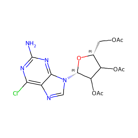 CC(=O)OC[C@H]1O[C@@H](n2cnc3c(Cl)nc(N)nc32)C(OC(C)=O)C1OC(C)=O